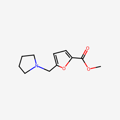 COC(=O)c1ccc(CN2CCCC2)o1